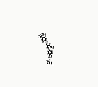 CCCCOc1ccc(N2CC(COc3ccc(C(=O)O)cc3)CC2=O)cc1